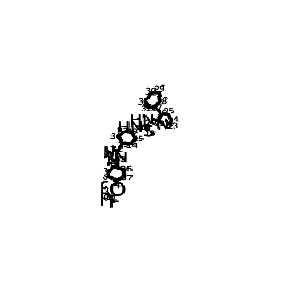 FC(F)(F)Oc1ccc(-n2cnc(-c3ccc(NC(=S)Nc4ncccc4-c4ccccc4)cc3)n2)cc1